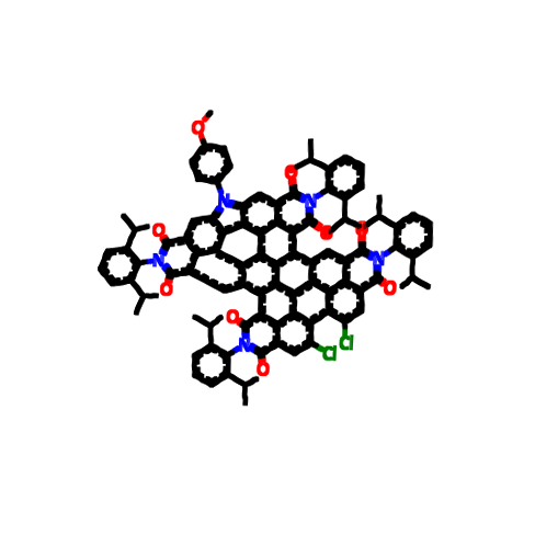 COc1ccc(-n2c3cc4c(=O)n(-c5c(C(C)C)cccc5C(C)C)c(=O)c5cc6c7c8c(=O)n(-c9c(C(C)C)cccc9C(C)C)c(=O)c9cc(Cl)c%10c%11c(Cl)cc%12c(=O)n(-c%13c(C(C)C)cccc%13C(C)C)c(=O)c%13cc%14c%15c%16c(=O)n(-c%17c(C(C)C)cccc%17C(C)C)c(=O)c%17cc2c2c(c%17%16)c(c6c(c54)c23)c%15c7c(c%14c%11c%12%13)c%10c98)cc1